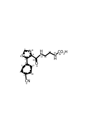 N#Cc1ccc(-c2scnc2C(=O)NCCNC(=O)O)cc1